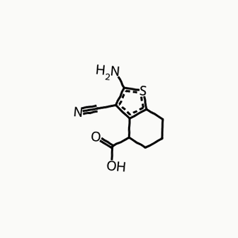 N#Cc1c(N)sc2c1C(C(=O)O)CCC2